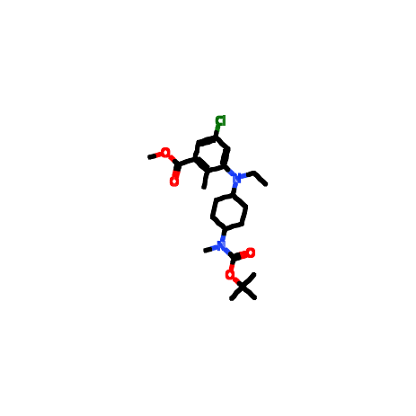 CCN(c1cc(Cl)cc(C(=O)OC)c1C)C1CCC(N(C)C(=O)OC(C)(C)C)CC1